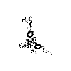 C=CCCOc1ccc(S(=O)(=O)N(Cc2cccc(OC)c2)C(C)C(=O)NO)cc1